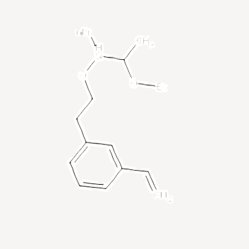 C=Cc1cccc(CCO[SiH](CCC)C(C)OCC)c1